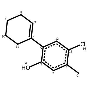 Cc1cc(O)c(C2=CCCCC2)cc1Cl